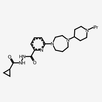 CC(C)N1CCC(N2CCCN(c3cccc(C(=O)NNC(=O)C4CC4)n3)CC2)CC1